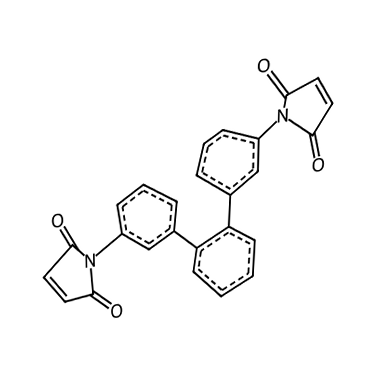 O=C1C=CC(=O)N1c1cccc(-c2ccccc2-c2cccc(N3C(=O)C=CC3=O)c2)c1